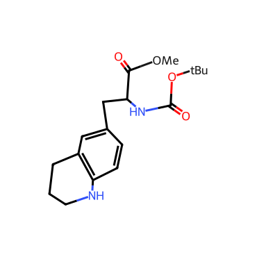 COC(=O)C(Cc1ccc2c(c1)CCCN2)NC(=O)OC(C)(C)C